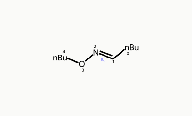 CCCC/C=N/OCCCC